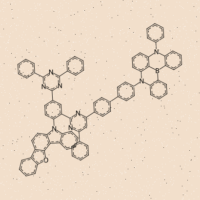 c1ccc(-c2cc(-c3ccc(-c4ccc(N5c6ccccc6B6c7ccccc7N(c7ccccc7)c7cccc5c76)cc4)cc3)nc(-c3cc(-c4nc(-c5ccccc5)nc(-c5ccccc5)n4)ccc3-n3c4ccccc4c4c5oc6ccccc6c5ccc43)n2)cc1